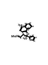 [2H]c1ccc(O[C@@]([2H])(CCNC)c2cccs2)c2ccccc12